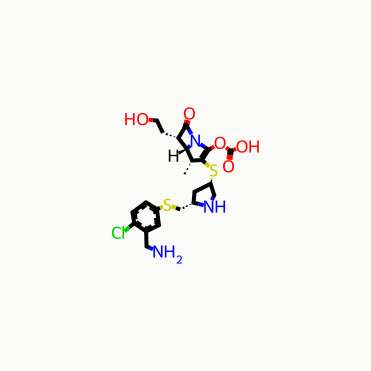 C[C@H]1C(S[C@@H]2CN[C@H](CSc3ccc(Cl)c(CN)c3)C2)=C(OC(=O)O)N2C(=O)[C@@H](CCO)[C@@H]12